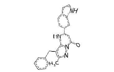 Cc1nn2c(=O)cc(-c3ccc4cc[nH]c4c3)[nH]c2c1Cc1ccccc1